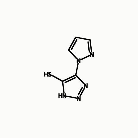 Sc1[nH]nnc1-n1cccn1